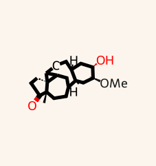 CO[C@H]1C[C@]2(C)[C@H]3CC[C@]4(C)C(=O)CC[C@@]45C(CC[C@H]2C[C@@H]1O)C5C3